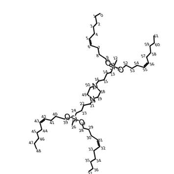 CCCCC/C=C\CCCO[Si](C)(CCCCN1CCN(CCCC[Si](C)(OCCC/C=C\CCCCC)OCCC/C=C\CCCCC)CC1)OCCC/C=C\CCCCC